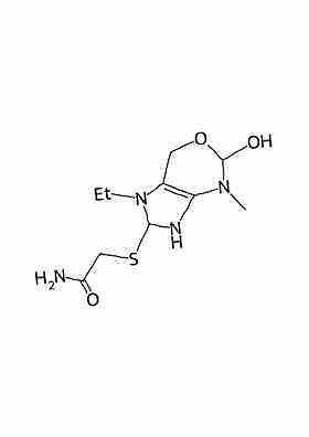 CCN1C2=C(NC1SCC(N)=O)N(C)C(O)OC2